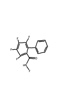 O=C(NF)c1c(F)c(F)c(F)c(F)c1-c1ccccc1